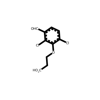 O=Cc1ccc(Cl)c(OCCC(=O)O)c1Cl